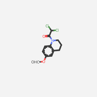 O=COc1ccc2c(c1)CCCN2C(=O)C(Cl)Cl